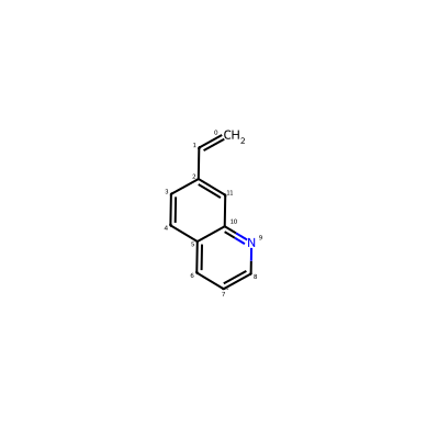 C=Cc1ccc2c[c]cnc2c1